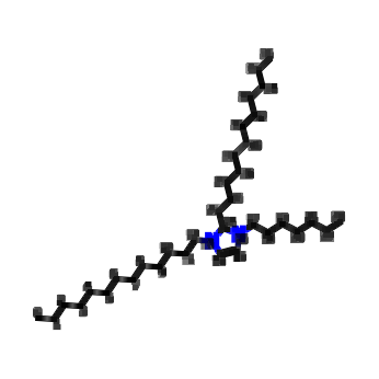 CCCCCCCCCCCCCN1C=CN(CCCCCCC)C1CCCCCCCCCCCC